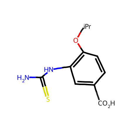 CC(C)Oc1ccc(C(=O)O)cc1NC(N)=S